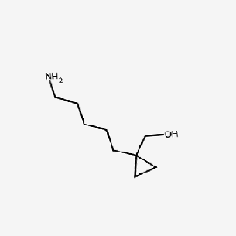 NCCCCCC1(CO)CC1